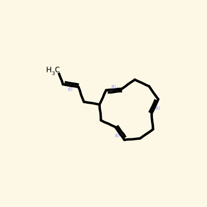 C/C=C/CC1/C=C/CC/C=C/CC/C=C/C1